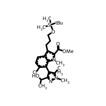 COC(=O)c1c(CCCO[Si](C)(C)C(C)(C)C)c2ccc(Cl)c(-c3c(C(C)O)nn(C)c3C)c2n1C